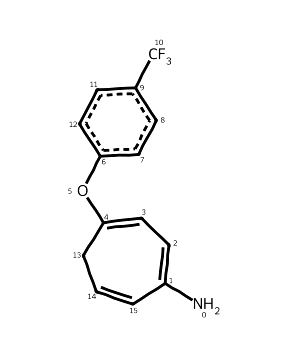 NC1=CC=C(Oc2ccc(C(F)(F)F)cc2)CC=C1